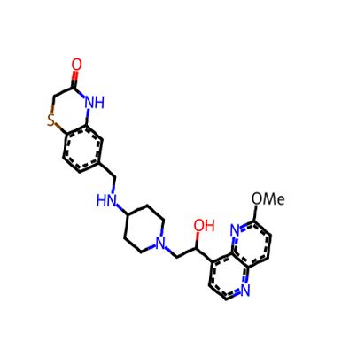 COc1ccc2nccc(C(O)CN3CCC(NCc4ccc5c(c4)NC(=O)CS5)CC3)c2n1